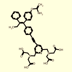 C=C(N)Oc1ccc(/C(=C(/CC)c2ccccc2)c2ccc(C#Cc3cc(CN(CC(=O)O)CC(=O)O)nc(CN(CC(=O)O)CC(=O)O)c3)cc2)cc1